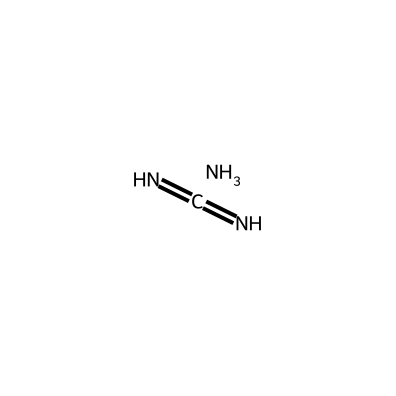 N.N=C=N